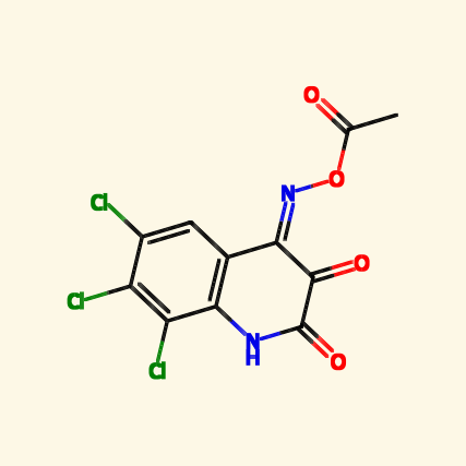 CC(=O)ON=C1C(=O)C(=O)Nc2c1cc(Cl)c(Cl)c2Cl